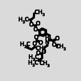 CCCC(C)OC(=O)Oc1ccc(C[C@H](NCCOC(=O)CC(C)(C)C)C(=O)OC)cc1OC(=O)OC(C)CCC